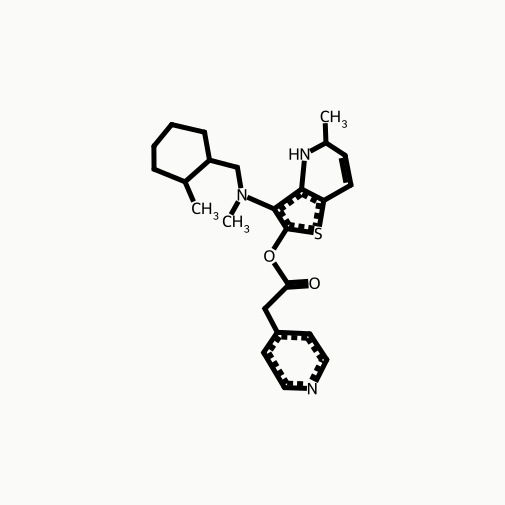 CC1C=Cc2sc(OC(=O)Cc3ccncc3)c(N(C)CC3CCCCC3C)c2N1